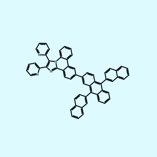 c1ccc(-c2nc3c4ccc(-c5ccc6c(-c7ccc8ccccc8c7)c7ccccc7c(-c7ccc8ccccc8c7)c6c5)cc4c4ccccc4n3c2-c2ccccn2)nc1